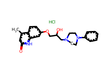 Cc1cc(=O)[nH]c2cc(OCC(O)CN3CCN(c4ccccc4)CC3)ccc12.Cl